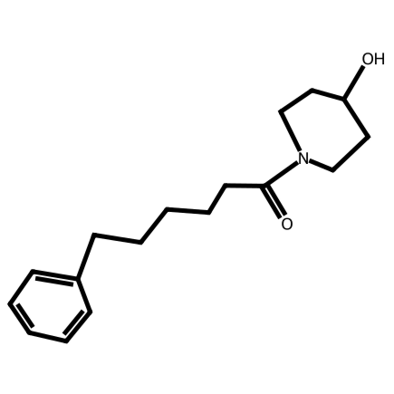 O=C(CCCCCc1ccccc1)N1CCC(O)CC1